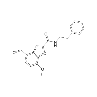 COc1ccc(C=O)c2cc(C(=O)NCCc3ccccc3)oc12